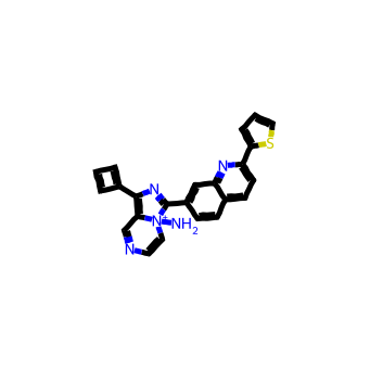 N[N+]12C=CN=CC1=C(C1=CC=C1)N=C2c1ccc2ccc(-c3cccs3)nc2c1